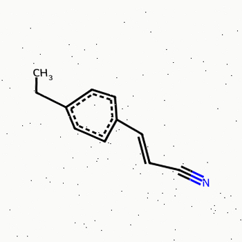 CCc1ccc(C=CC#N)cc1